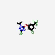 CC(C)n1nc(Br)nc1Oc1cc(Cl)cc(C(F)(F)F)c1